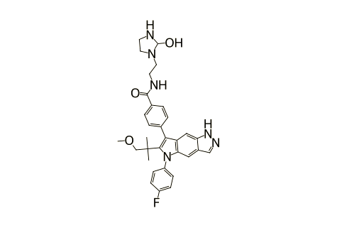 COCC(C)(C)c1c(-c2ccc(C(=O)NCCN3CCNC3O)cc2)c2cc3[nH]ncc3cc2n1-c1ccc(F)cc1